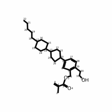 C=C(C)C(=O)OCc1cc(C2CCC(C3CCC(CCCCC)CC3)CC2)ccc1CCO